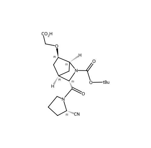 CC(C)(C)OC(=O)N1[C@H](C(=O)N2CCC[C@H]2C#N)[C@H]2C[C@@H](OCC(=O)O)[C@@H]1C2